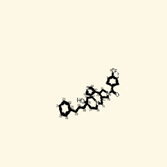 O=C(c1ccc(C(F)(F)F)cc1)N1CC(CN2CCC(O)(CCCc3ccccc3)CC2)C(c2ccsc2)C1